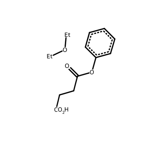 CCOCC.O=C(O)CCC(=O)Oc1ccccc1